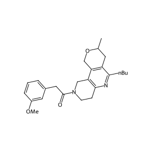 CCCCc1nc2c(c3c1CC(C)OC3)CN(C(=O)Cc1cccc(OC)c1)CC2